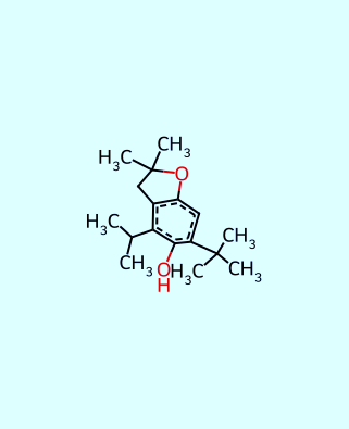 CC(C)c1c(O)c(C(C)(C)C)cc2c1CC(C)(C)O2